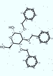 OC[C@H]1O[C@H](O)[C@H](OCc2ccccc2)[C@@H](OCc2ccccc2)[C@@H]1OCc1ccccc1